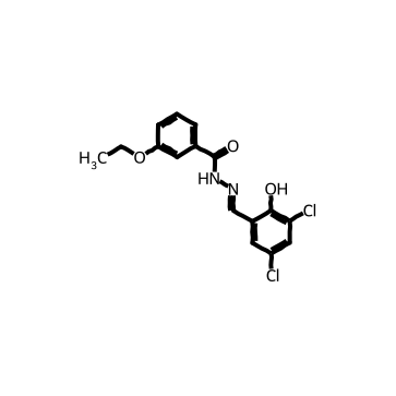 CCOc1cccc(C(=O)N/N=C/c2cc(Cl)cc(Cl)c2O)c1